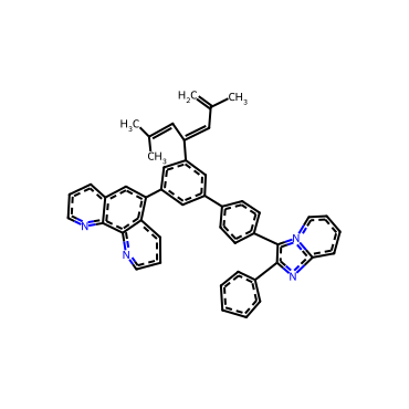 C=C(C)/C=C(\C=C(C)C)c1cc(-c2ccc(-c3c(-c4ccccc4)nc4ccccn34)cc2)cc(-c2cc3cccnc3c3ncccc23)c1